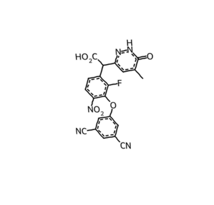 Cc1cc(C(C(=O)O)c2ccc([N+](=O)[O-])c(Oc3cc(C#N)cc(C#N)c3)c2F)n[nH]c1=O